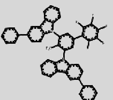 Fc1c(F)c(F)c(-c2cc(-n3c4ccccc4c4cc(-c5ccccc5)ccc43)c(C(F)(F)F)c(-n3c4ccccc4c4cc(-c5ccccc5)ccc43)c2)c(F)c1F